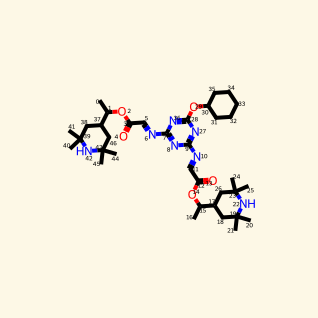 CC(OC(=O)C=Nc1nc(N=CC(=O)OC(C)C2CC(C)(C)NC(C)(C)C2)nc(OC2CCCCC2)n1)C1CC(C)(C)NC(C)(C)C1